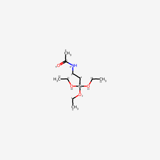 CCO[Si](CCNC(C)=O)(OCC)OCC